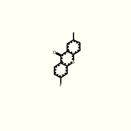 Cc1ccc2sc3cc(F)ccc3c(=O)c2c1